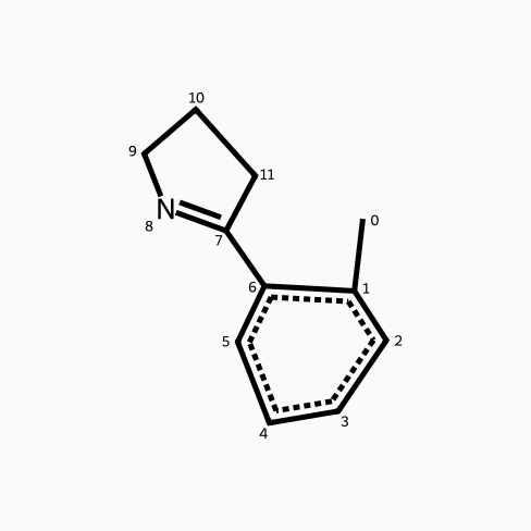 Cc1ccccc1C1=NCCC1